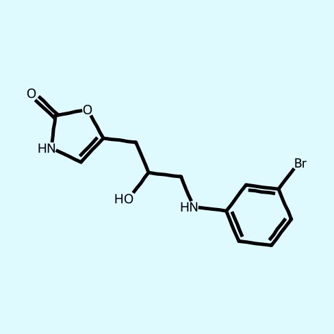 O=c1[nH]cc(CC(O)CNc2cccc(Br)c2)o1